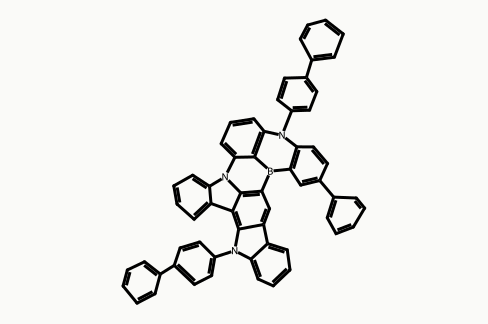 c1ccc(-c2ccc(N3c4ccc(-c5ccccc5)cc4B4c5c3cccc5-n3c5ccccc5c5c3c4cc3c4ccccc4n(-c4ccc(-c6ccccc6)cc4)c35)cc2)cc1